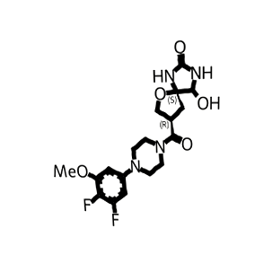 COc1cc(N2CCN(C(=O)[C@H]3CO[C@]4(C3)NC(=O)NC4O)CC2)cc(F)c1F